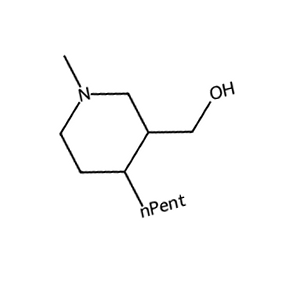 CCCCCC1CCN(C)CC1CO